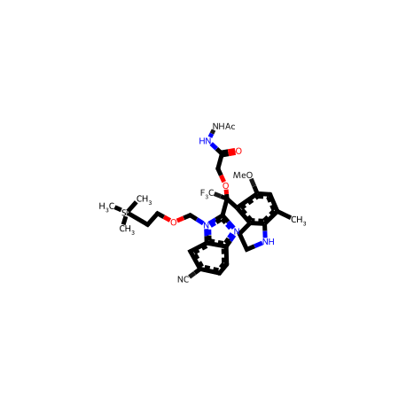 COc1cc(C)c2c(c1C(OCC(=O)NNC(C)=O)(c1nc3ccc(C#N)cc3n1COCC[Si](C)(C)C)C(F)(F)F)CCN2